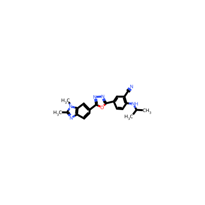 Cc1nc2ccc(-c3nnc(-c4ccc(NC(C)C)c(C#N)c4)o3)cc2n1C